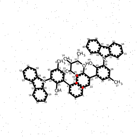 Cc1cc(-c2ccccc2OC(C)C(C)[C@H](C)Oc2ccccc2-c2cc(C)cc(-n3c4ccccc4c4ccccc43)c2O)c(O)c(-n2c3ccccc3c3ccccc32)c1